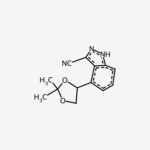 CC1(C)OCC(c2cccc3[nH]nc(C#N)c23)O1